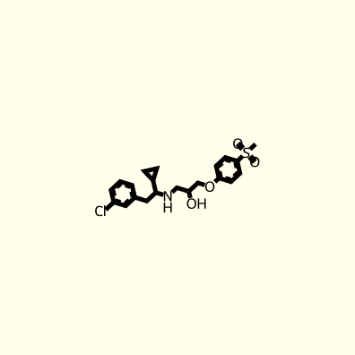 CS(=O)(=O)c1ccc(OCC(O)CNC(Cc2cccc(Cl)c2)C2CC2)cc1